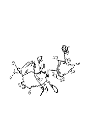 C[Si](C)(C)[C@H]1SC[C@H]2C(=O)N(c3cccc(Br)c3)C(=O)[C@H]21